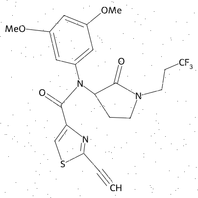 C#Cc1nc(C(=O)N(c2cc(OC)cc(OC)c2)C2CCN(CCC(F)(F)F)C2=O)cs1